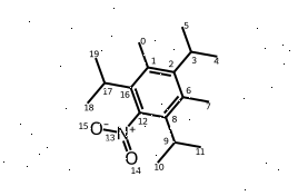 Cc1c(C(C)C)c(C)c(C(C)C)c([N+](=O)[O-])c1C(C)C